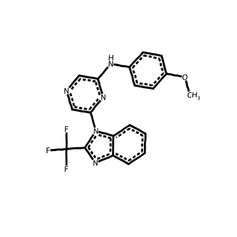 COc1ccc(Nc2cncc(-n3c(C(F)(F)F)nc4ccccc43)n2)cc1